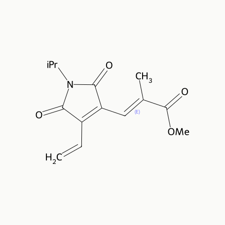 C=CC1=C(/C=C(\C)C(=O)OC)C(=O)N(C(C)C)C1=O